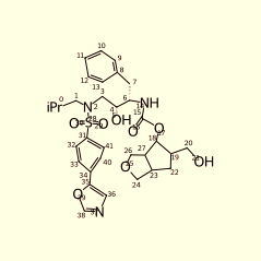 CC(C)CN(C[C@@H](O)[C@H](Cc1ccccc1)NC(=O)OC1C(CO)CC2COCC21)S(=O)(=O)c1ccc(-c2cnco2)cc1